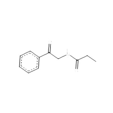 CCC(=O)NCC(=O)c1ccccc1